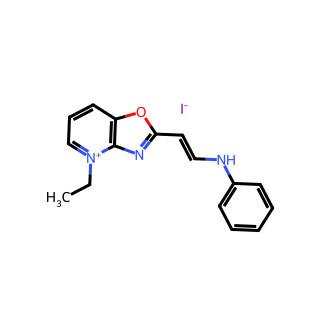 CC[n+]1cccc2oc(C=CNc3ccccc3)nc21.[I-]